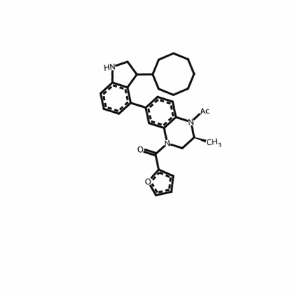 CC(=O)N1c2ccc(-c3cccc4c3C(C3CCCCCCC3)CN4)cc2N(C(=O)c2ccco2)C[C@@H]1C